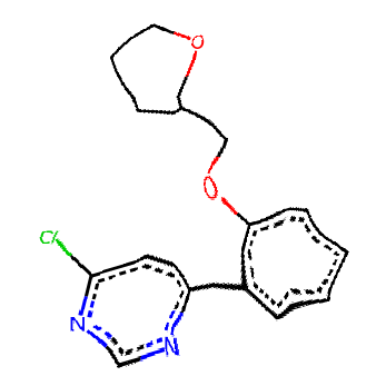 Clc1cc(-c2ccccc2OCC2CCCO2)ncn1